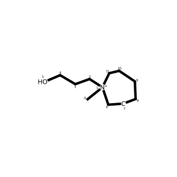 C[N+]1(CCCO)CCCCCC1